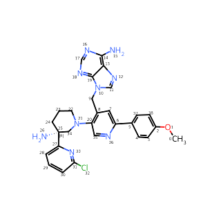 COc1ccc(-c2cc(Cn3cnc4c(N)ncnc43)c(N3CCC[C@](N)(c4cccc(Cl)n4)C3)cn2)cc1